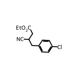 CCOC(=O)CC(C#N)Cc1ccc(Cl)cc1